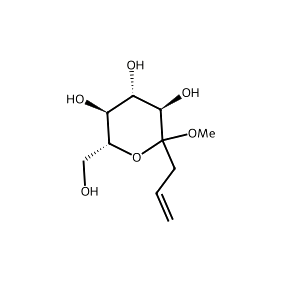 C=CCC1(OC)O[C@H](CO)[C@@H](O)[C@H](O)[C@H]1O